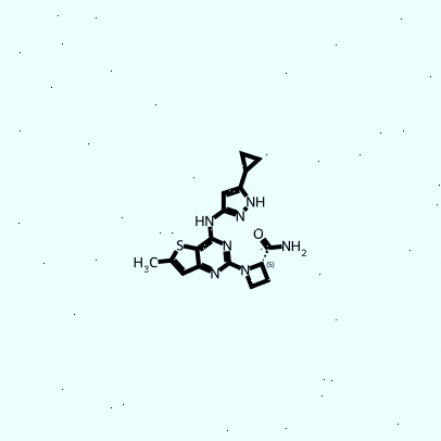 Cc1cc2nc(N3CC[C@H]3C(N)=O)nc(Nc3cc(C4CC4)[nH]n3)c2s1